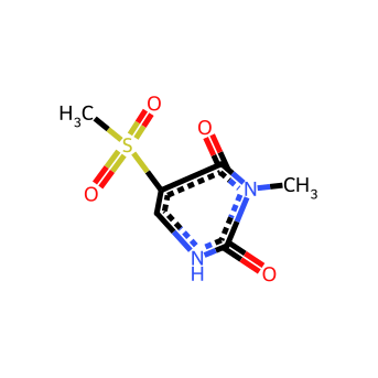 Cn1c(=O)[nH]cc(S(C)(=O)=O)c1=O